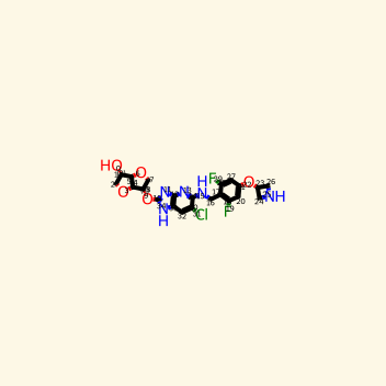 O[C@@H]1COC2C1OC[C@H]2Oc1nc2nc(NCc3c(F)cc(OC4CNC4)cc3F)c(Cl)cc2[nH]1